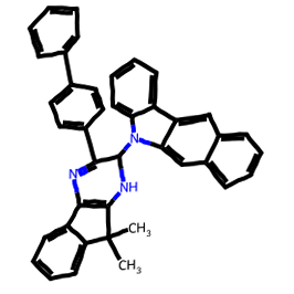 CC1(C)C2=C(N=C(c3ccc(-c4ccccc4)cc3)C(n3c4ccccc4c4cc5ccccc5cc43)N2)c2ccccc21